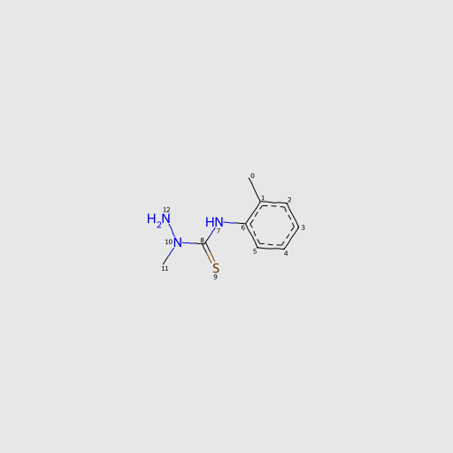 Cc1ccccc1NC(=S)N(C)N